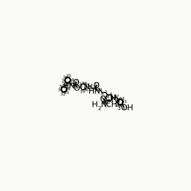 CC(C)(CN(CCCCCNC(=O)CCN1CCC(OC(=O)Nc2ccccc2-c2ccccc2)CC1)Cc1ccc(O)cc1)C(N)=O